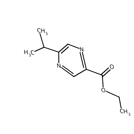 CCOC(=O)c1cnc(C(C)C)cn1